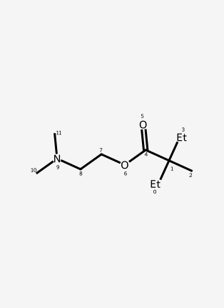 CCC(C)(CC)C(=O)OCCN(C)C